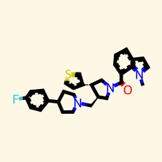 Cn1ccc2cccc(C(=O)N3C[C@@H](CN4CCC(c5ccc(F)cc5)CC4)[C@H](c4ccsc4)C3)c21